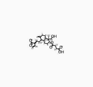 C=C1CCC2[C@@](C)(CC[C@@H](OC(=O)CCC(=O)O)[C@@]2(C)CO)C1C/C=C1\C=COC1=O